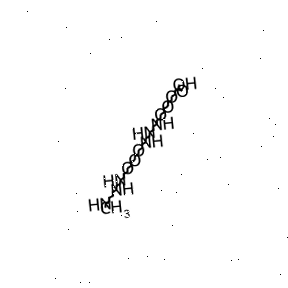 CNCCCCNCCNCCCOCCOCCOCCNCCNCCNCCOCCOCCOCCC(=O)O